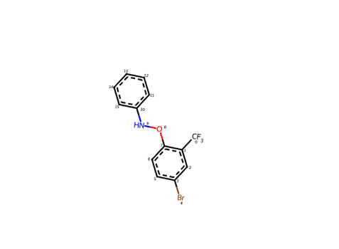 FC(F)(F)c1cc(Br)ccc1ONc1ccccc1